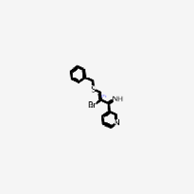 N=C(/C(Br)=C/SCc1ccccc1)c1cccnc1